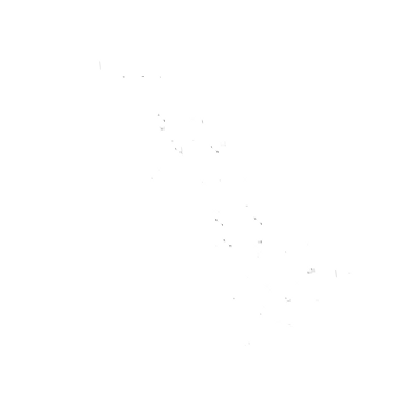 FC(F)(F)c1ccc(Sc2nc(Cl)cc(Sc3nc(-c4cc(C(F)(F)F)cc(C(F)(F)F)c4)n[nH]3)n2)nc1